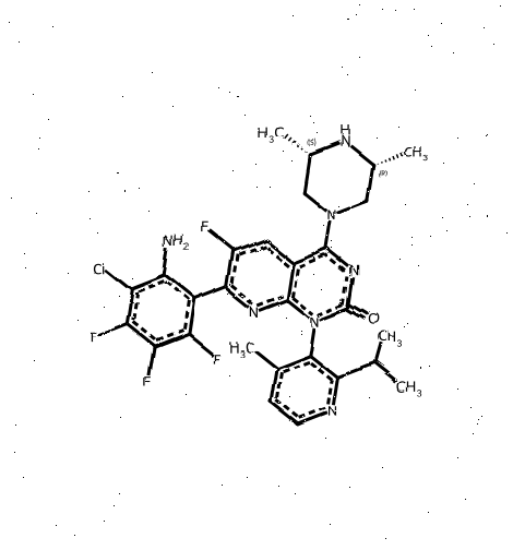 Cc1ccnc(C(C)C)c1-n1c(=O)nc(N2C[C@@H](C)N[C@@H](C)C2)c2cc(F)c(-c3c(N)c(Cl)c(F)c(F)c3F)nc21